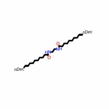 CCCCCCCCCCC=CCCCCCCCC(=O)NCCNC(=O)CCCCCCCC=CCCCCCCCCCC